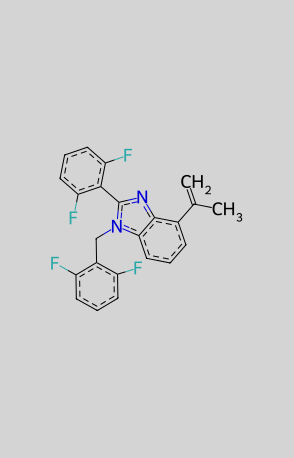 C=C(C)c1cccc2c1nc(-c1c(F)cccc1F)n2Cc1c(F)cccc1F